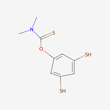 CN(C)C(=S)Oc1cc(S)cc(S)c1